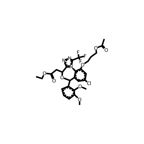 CCOC(=O)CC1OC(c2cccc(OC)c2OC)c2cc(Cl)cc(OCCCOC(C)=O)c2-n2c1nnc2C(F)(F)F